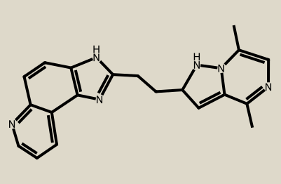 CC1=CN=C(C)C2=CC(CCc3nc4c(ccc5ncccc54)[nH]3)NN12